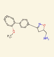 COc1ccccc1-c1ccc(C2=NOC(CN)C2)cc1